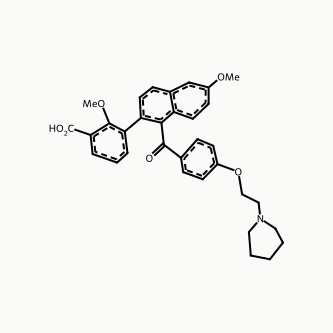 COc1ccc2c(C(=O)c3ccc(OCCN4CCCCC4)cc3)c(-c3cccc(C(=O)O)c3OC)ccc2c1